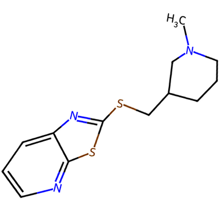 CN1CCCC(CSc2nc3cccnc3s2)C1